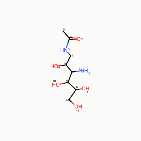 CC(=O)NCC(O)C(N)C(O)C(O)CO